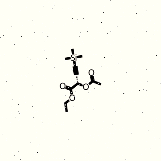 CCOC(=O)[C@H](C#C[Si](C)(C)C)OC(C)=O